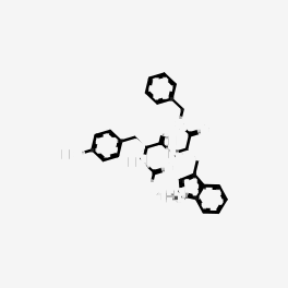 CC(C)(C)OC(=O)N[C@@H](Cc1ccc(O)cc1)C(=O)N[C@@H](Cc1c[nH]c2ccccc12)C(=O)OCc1ccccc1